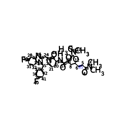 CN(C)C(=O)/C=C/CC[C@H](OC(=O)N(C)C)C(=O)Nc1cccn(Cc2nc3cc(F)ccc3n2Cc2ccc(F)cc2)c1=O